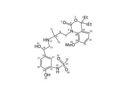 CCC1(CC)OC(=O)N(CCC(C)(C)NCC(O)c2ccc(O)c(NS(C)(=O)=O)c2)c2c(OC)cccc21